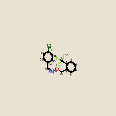 FC(F)(F)c1ccccc1CO/N=[C]\c1ccc(Cl)cc1